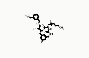 CCCCC(F)(F)C[C@@H](NC(=O)O)C(=O)N[C@@H](Cc1cc(F)cc(F)c1)[C@@H](O)CNCc1cccc(CC)c1